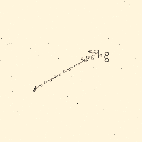 [N-]=[N+]=NCCOCCOCCOCCOCCOCCOCCOCCOCCOCCC(=O)NCCNC(=O)CCC(NC(=O)OCC1c2ccccc2-c2ccccc21)C(=O)O